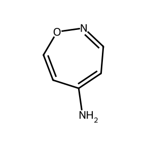 NC1=CC=NOC=C1